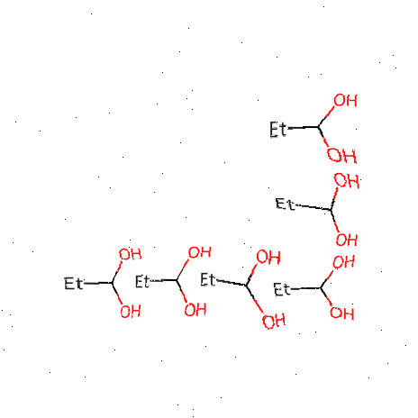 CCC(O)O.CCC(O)O.CCC(O)O.CCC(O)O.CCC(O)O.CCC(O)O